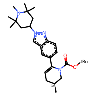 C[C@H]1CC=C(c2ccc3nn(C4CC(C)(C)N(C)C(C)(C)C4)cc3c2)N(C(=O)OC(C)(C)C)C1